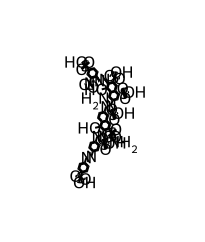 NOS(=O)(=O)c1cc2c(S(=O)(=O)O)c(N=Nc3cc(S(=O)(=O)O)c4cc(S(=O)(=O)O)c(N=Nc5ccc(S(=O)(=O)O)cc5[N+](=O)[O-])c(O)c4c3N)ccc2c(O)c1N=Nc1ccc(N=Nc2ccc(S(=O)(=O)O)cc2)cc1S(=O)(=O)O